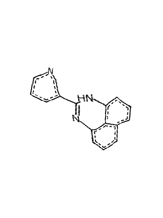 c1cncc(C2=Nc3cccc4cccc(c34)N2)c1